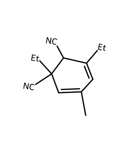 CCC1=CC(C)=CC(C#N)(CC)C1C#N